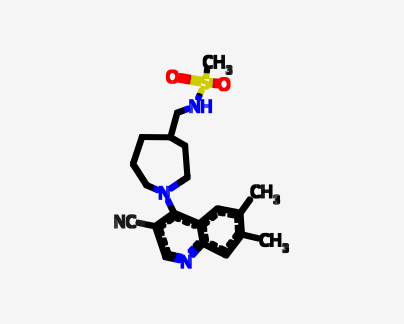 Cc1cc2ncc(C#N)c(N3CCCC(CNS(C)(=O)=O)CC3)c2cc1C